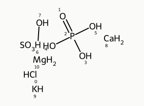 Cl.O=P(O)(O)O.O=S(=O)(O)O.[CaH2].[KH].[MgH2]